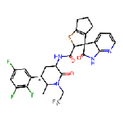 CC1[C@@H](c2cc(F)cc(F)c2F)CC(NC(=O)C2SC3=C(CCC3)C23C(=O)Nc2ncccc23)C(=O)N1CC(F)(F)F